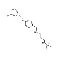 CS(=O)(=O)NCCCNCc1ccc(OCc2cccc(F)c2)cc1